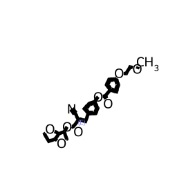 COCCOc1ccc(C(=O)Oc2ccc(/C=C(\C#N)C(=O)OC3COC4CCOC43)cc2)cc1